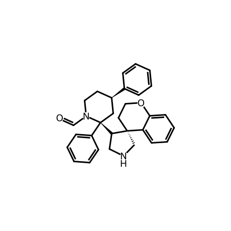 O=CN1CC[C@@H](c2ccccc2)C[C@@]1(c1ccccc1)C1CNC[C@@]12CCOc1ccccc12